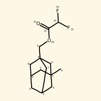 CC12CC3CC(C1)CC(COC(=O)C(F)F)(C3)C2